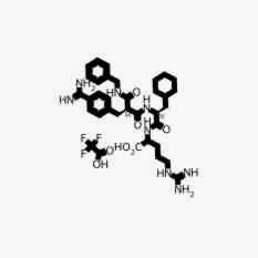 N=C(N)NCCCC(NC(=O)[C@H](CC1CCCCC1)NC(=O)[C@@H](Cc1ccc(C(=N)N)cc1)C(=O)NCc1ccccc1)C(=O)O.O=C(O)C(F)(F)F